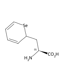 N[C@@H](CC1C=CC=C[Se]1)C(=O)O